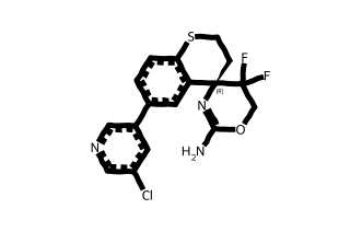 NC1=N[C@@]2(CCSc3ccc(-c4cncc(Cl)c4)cc32)C(F)(F)CO1